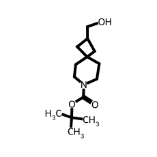 CC(C)(C)OC(=O)N1CCC2(CC1)CC(CO)C2